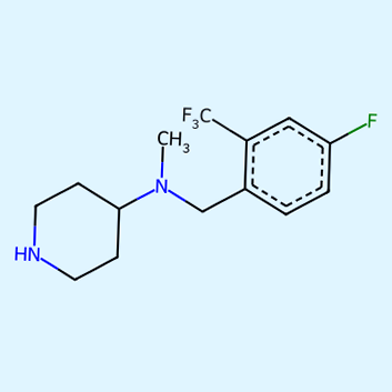 CN(Cc1ccc(F)cc1C(F)(F)F)C1CCNCC1